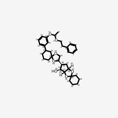 CC(OCCc1ccccc1)Oc1cccc(C2CCCC3(C2)OCC([C@H]2C[C@@H]4OC5(CCCCC5)O[C@@H]4[C@H]2O)O3)c1